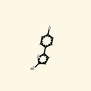 N#Cc1ccc(-c2ccc(Cl)cc2)o1